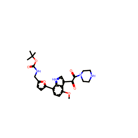 COc1ccc(-c2ccc(CNC(=O)OC(C)(C)C)o2)c2[nH]cc(C(=O)C(=O)N3CCNCC3)c12